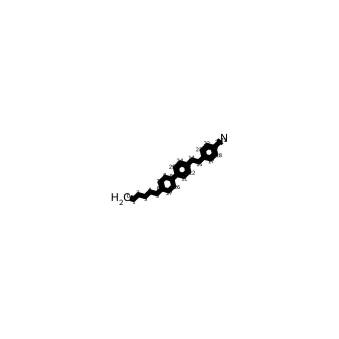 C=CCCCCC1=CCC(c2ccc(CCc3ccc(C#N)cc3)cc2)CC1